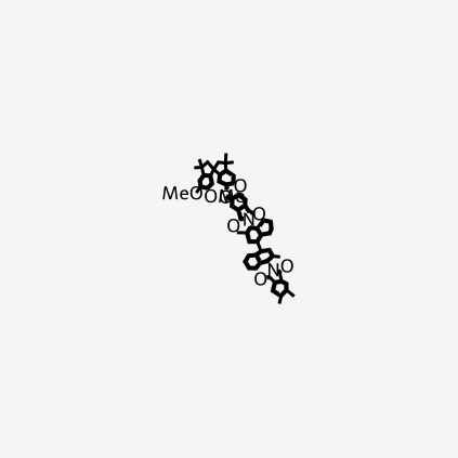 COc1cc2c(cc1OC)C1(CC2(C)C)CC(C)(C)c2cc3oc4cc5c(=O)n(-c6c(C)cc(-c7cc(C)c(N8C(=O)c9cc(C)c(C)cc9C8=O)c8ccccc78)c7ccccc67)c(=O)c5cc4oc3cc21